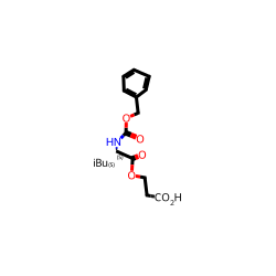 CC[C@H](C)[C@H](NC(=O)OCc1ccccc1)C(=O)OCCC(=O)O